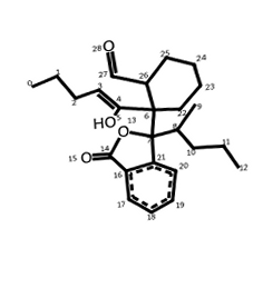 CCC/C=C(\O)C1(C2(C(C)CCC)OC(=O)c3ccccc32)CCCCC1C=O